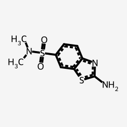 CN(C)S(=O)(=O)c1ccc2nc(N)sc2c1